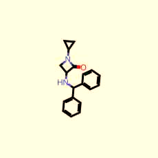 O=C1C(NC(c2ccccc2)c2ccccc2)CN1C1CC1